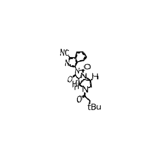 CC(C)(C)CC(=O)N1C[C@@H]2C[C@H]1[C@H]1C(=O)N(c3cnc(C#N)c4ccccc34)C(=O)N21